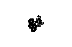 COc1cc(OC)nc(OC(C(=O)O)C(c2ccccc2)(c2ccccc2)S(C)(=O)=O)n1